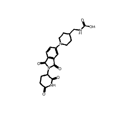 O=C(O)NCC1CCN(c2ccc3c(c2)C(=O)N(C2CCC(=O)NC2=O)C3=O)CC1